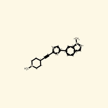 CN1CCC(C#Cc2ncc(-c3ccc4cnn(C)c4c3)s2)CC1